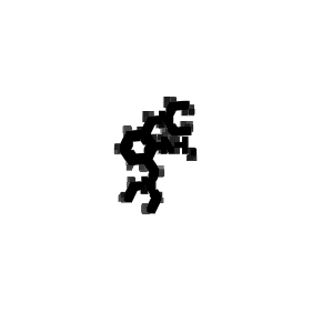 CCN(CC)Cc1cccc(CN(CC)CC)c1N